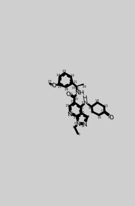 CCn1ncc2c(NC3CCC(=O)CC3)c(C(=O)N[C@H](C)c3cccc(OC)c3)cnc21